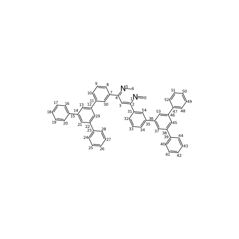 C=N/C(=C\C(=N/C)c1cccc(-c2cc(-c3ccccc3)cc(-c3ccccc3)c2)c1)c1cccc(-c2cc(-c3ccccc3)cc(-c3ccccc3)c2)c1